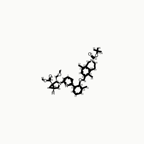 COC[C@H]1N(c2cccc(-c3cccc(C)c3OCc3cc(C)c4c(c3C)CCN(C(=O)OC(C)(C)C)C4)n2)C[C@@H]2C[C@@]21C(=O)OC